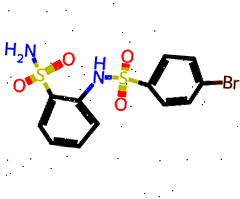 NS(=O)(=O)c1ccccc1NS(=O)(=O)c1ccc(Br)cc1